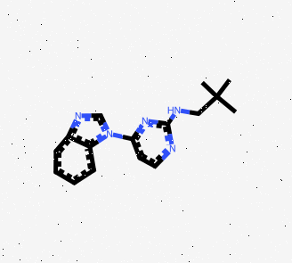 CC(C)(C)CNc1nccc(-n2cnc3ccccc32)n1